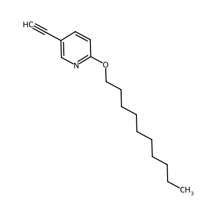 C#Cc1ccc(OCCCCCCCCCC)nc1